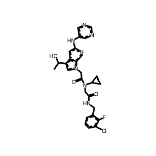 CC(O)c1cn(CC(=O)N(CC(=O)NCc2cccc(Cl)c2F)C2CC2)c2cnc(Nc3cncnc3)cc12